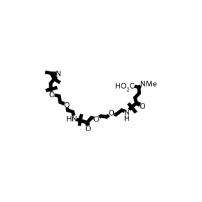 CNC(CCC(=O)C(C)(C)NCCOCCOCC(=O)C(C)(C)NCCOCCOC(C)(C)CC1(C)N=C1C)C(=O)O